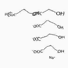 O=C([O-])CO.O=C([O-])CO.O=C([O-])CO.O=C([O-])CO.O=C([O-])CO.[Hf+4].[Na+]